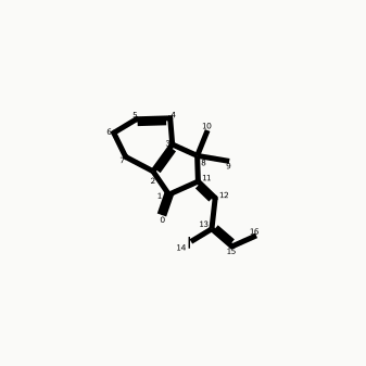 C=C1C2=C(C=CCC2)C(C)(C)/C1=C/C(I)=C\C